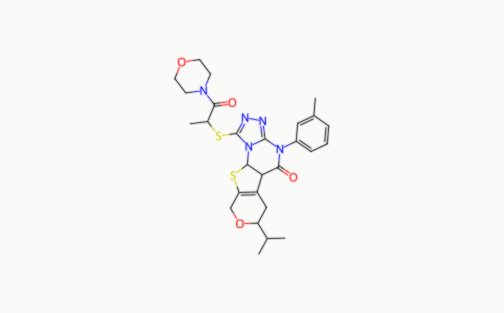 Cc1cccc(N2C(=O)C3C4=C(COC(C(C)C)C4)SC3n3c(SC(C)C(=O)N4CCOCC4)nnc32)c1